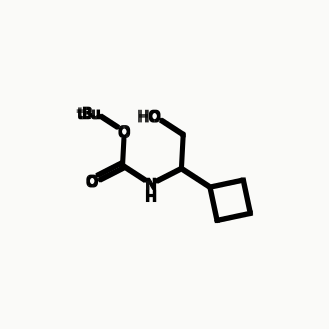 CC(C)(C)OC(=O)NC(CO)C1CCC1